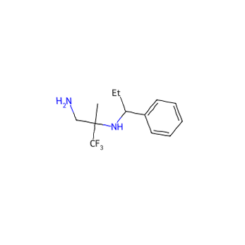 CCC(NC(C)(CN)C(F)(F)F)c1ccccc1